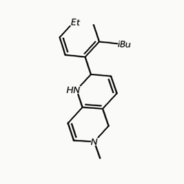 CC/C=C\C(=C(/C)C(C)CC)C1C=CC2=C(C=CN(C)C2)N1